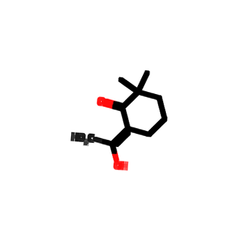 CC1(C)CCCC(=C(O)C(=O)O)C1=O